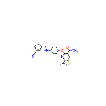 Cc1csc2cc(C(N)=O)c(O[C@H]3CC[C@H](NC(=O)c4cccc(C#N)c4)CC3)nc12